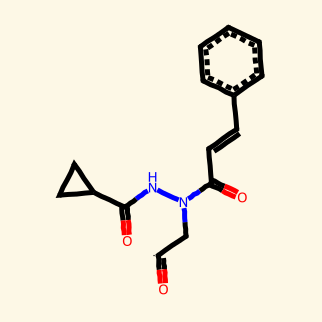 O=[C]CN(NC(=O)C1CC1)C(=O)/C=C/c1ccccc1